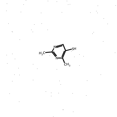 Cc1ncc(S)c(C)n1